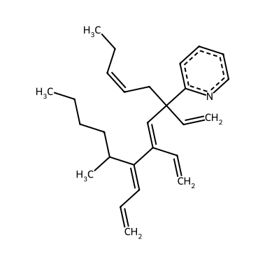 C=C/C=C(/C(C=C)=C/C(C=C)(C/C=C\CC)c1ccccn1)C(C)CCCC